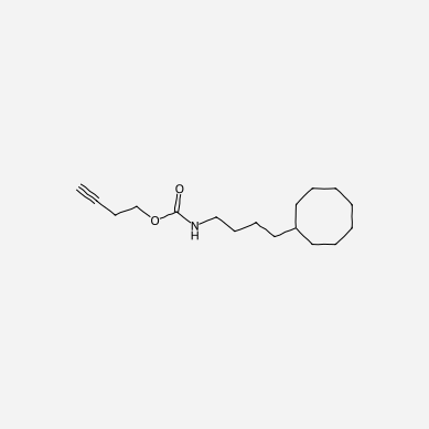 C#CCCOC(=O)NCCCCC1CCCCCCC1